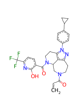 C=CC(=O)N1CCc2nn(-c3ccc(C4CC4)cc3)c3c2C(C1)N(C(=O)c1ccc(C(F)(F)F)nc1O)CC3